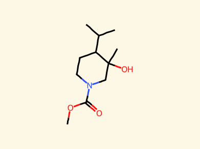 COC(=O)N1CCC(C(C)C)C(C)(O)C1